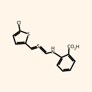 O=C(O)c1ccccc1NC=S=Cc1ccc(Cl)s1